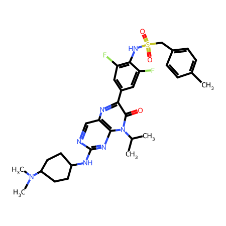 Cc1ccc(CS(=O)(=O)Nc2c(F)cc(-c3nc4cnc(NC5CCC(N(C)C)CC5)nc4n(C(C)C)c3=O)cc2F)cc1